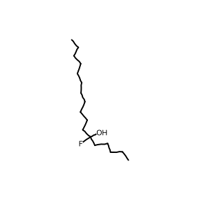 CCCCCCCCCCCC(O)(F)CCCCC